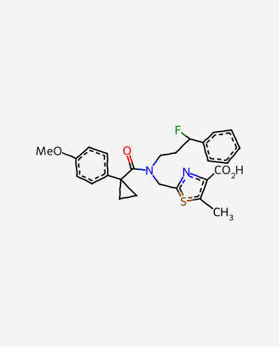 COc1ccc(C2(C(=O)N(CCC(F)c3ccccc3)Cc3nc(C(=O)O)c(C)s3)CC2)cc1